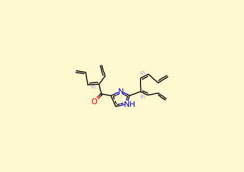 C=C/C=C\C(=C/C=C)c1nc(C(=O)/C(C=C)=C/C=C)c[nH]1